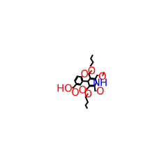 CCCCOC(=O)C1=C(COC)NC(COC)=C(C(=O)OCCCC)C1c1cccc(C(=O)O)c1